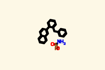 N[SH](=O)=O.c1ccc(Cc2ccccc2-c2ccc3ccccc3c2)cc1